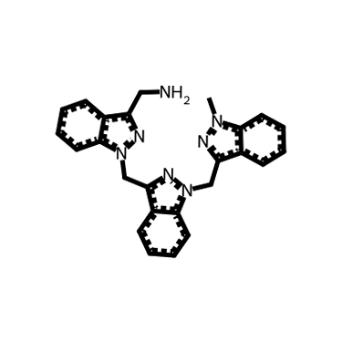 Cn1nc(Cn2nc(Cn3nc(CN)c4ccccc43)c3ccccc32)c2ccccc21